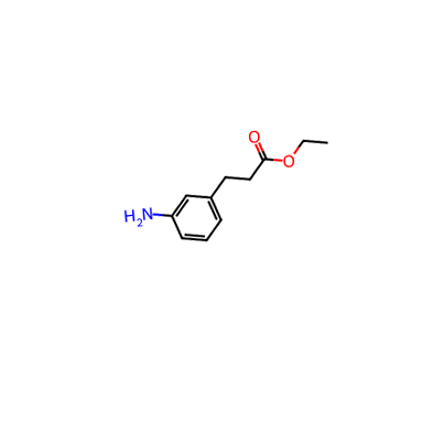 CCOC(=O)CCc1cccc(N)c1